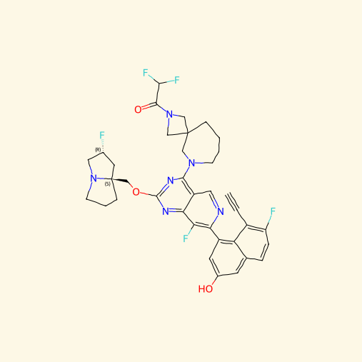 C#Cc1c(F)ccc2cc(O)cc(-c3ncc4c(N5CCCCC6(CN(C(=O)C(F)F)C6)C5)nc(OC[C@@]56CCCN5C[C@H](F)C6)nc4c3F)c12